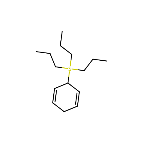 CCCS(CCC)(CCC)C1C=CCC=C1